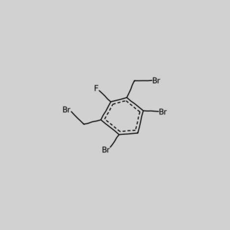 Fc1c(CBr)c(Br)cc(Br)c1CBr